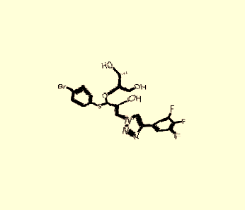 C[C@@H](O)C(CO)OC(Sc1ccc(Br)cc1)[C@@H](O)Cn1cc(-c2cc(F)c(F)c(F)c2)nn1